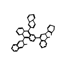 CC1C=c2ccccc2=CC1C1=c2ccc(C3=CC4C5=C(CCC=C5)SC4c4ccccc43)cc2=C(C2=CC3C=CC=CC3C=C2)C2C=CC=CC12